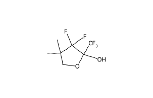 CC1(C)COC(O)(C(F)(F)F)C1(F)F